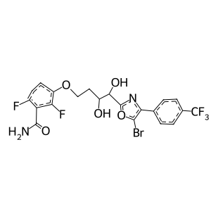 NC(=O)c1c(F)ccc(OCCC(O)C(O)c2nc(-c3ccc(C(F)(F)F)cc3)c(Br)o2)c1F